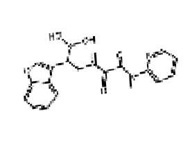 O=C(NC[C@H](B(O)O)c1coc2ccccc12)C(=O)Nc1ccccn1